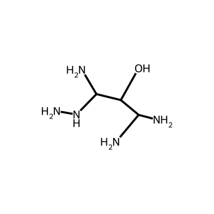 NNC(N)C(O)C(N)N